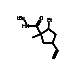 C=CC1CC(CC)C(C)(C(=O)NC(C)(C)C)C1